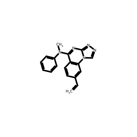 C=Cc1ccc2c(N(C)c3ccccc3)nc3nncn3c2c1